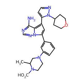 CC1CN(c2cccc(-c3cc(-c4ccnn4C4CCOCC4)c4c(N)ncnn34)c2)CCN1C(=O)O